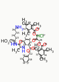 CC(Nc1ccccc1C(=O)OCc1ccccc1)C(=O)NC(CCCCN)C(=O)O.Cc1cc(C)c(C(=O)OCC(=O)COC(=O)c2c(C)cc(C)cc2C)c(C)c1.Cl